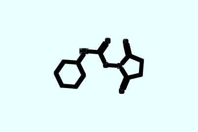 O=C(NC1CCCCC1)ON1C(=O)CCC1=O